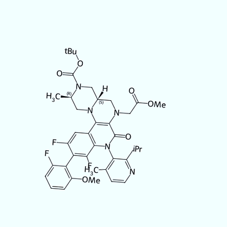 COC(=O)CN1C[C@H]2CN(C(=O)OC(C)(C)C)[C@H](C)CN2c2c1c(=O)n(-c1c(C)ccnc1C(C)C)c1c(F)c(-c3c(F)cccc3OC)c(F)cc21